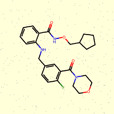 O=C(NOCC1CCCC1)c1ccccc1NCc1ccc(F)c(C(=O)N2CCOCC2)c1